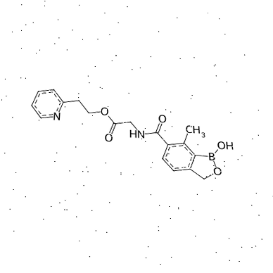 Cc1c(C(=O)NCC(=O)OCCc2ccccn2)ccc2c1B(O)OC2